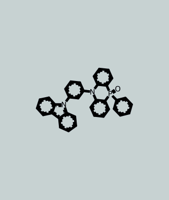 O=P1(c2ccccc2)c2ccccc2N(c2cccc(-n3c4ccccc4c4ccccc43)c2)c2ccccc21